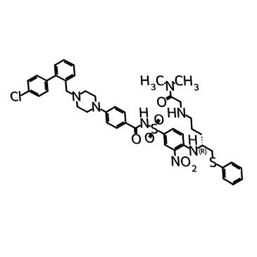 CN(C)C(=O)CNCCC[C@H](CSc1ccccc1)Nc1ccc(S(=O)(=O)NC(=O)c2ccc(N3CCN(Cc4ccccc4-c4ccc(Cl)cc4)CC3)cc2)cc1[N+](=O)[O-]